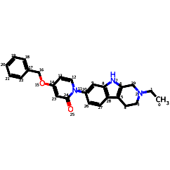 CCN1CCc2c([nH]c3cc(-n4ccc(OCc5ccccc5)cc4=O)ccc23)C1